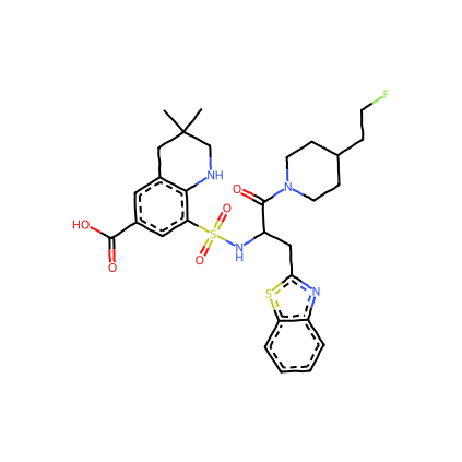 CC1(C)CNc2c(cc(C(=O)O)cc2S(=O)(=O)NC(Cc2nc3ccccc3s2)C(=O)N2CCC(CCF)CC2)C1